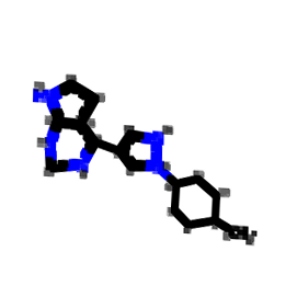 [CH2]C1CCC(n2cc(-c3ncnc4[nH]ccc34)cn2)CC1